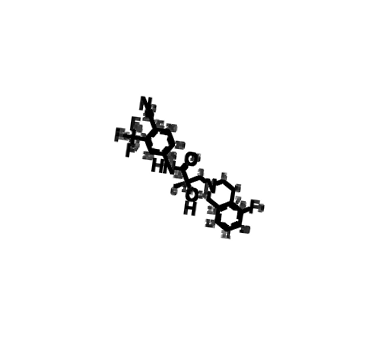 C[C@](O)(CN1CCc2c(F)cccc2C1)C(=O)Nc1ccc(C#N)c(C(F)(F)F)c1